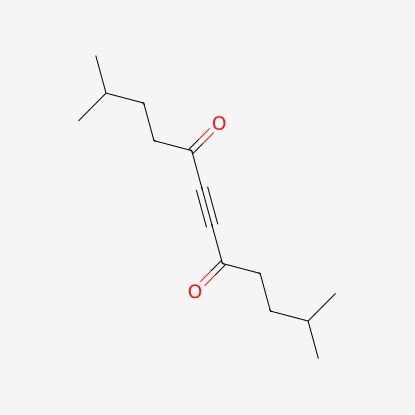 CC(C)CCC(=O)C#CC(=O)CCC(C)C